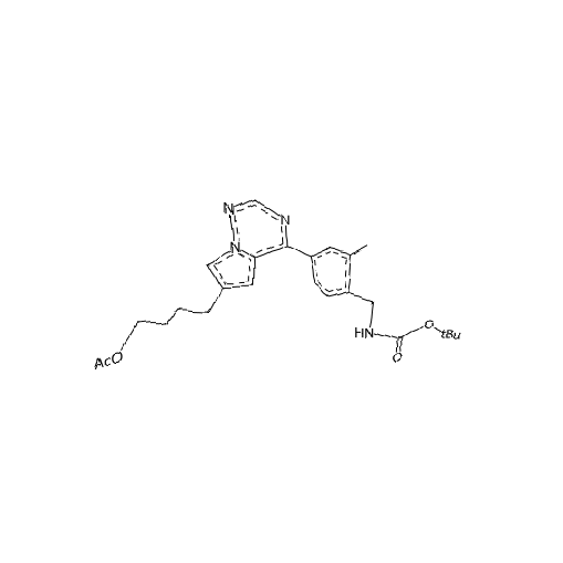 CC(=O)OCCCCc1cc2c(-c3ccc(CNC(=O)OC(C)(C)C)c(C)c3)ncnn2c1